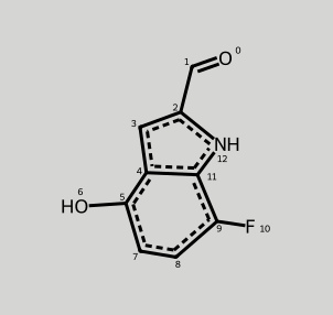 O=Cc1cc2c(O)ccc(F)c2[nH]1